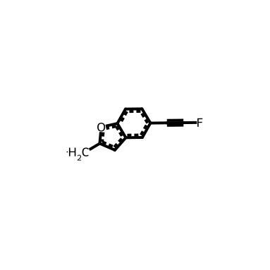 [CH2]c1cc2cc(C#CF)ccc2o1